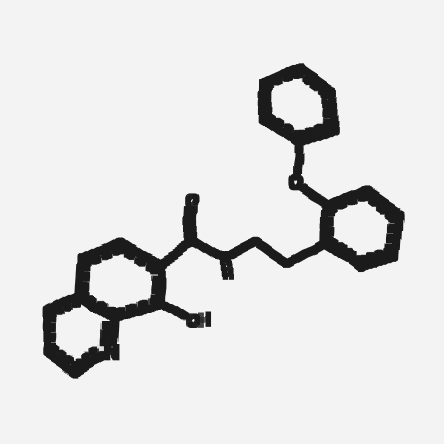 O=C(NCCc1ccccc1Oc1ccccc1)c1ccc2cccnc2c1O